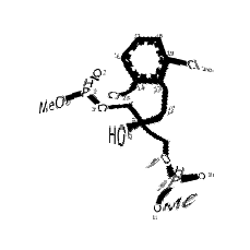 CO[PH](=O)OCC(O)(CO[PH](=O)OC)Cc1c(Cl)cccc1Cl